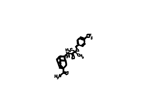 CC(C)(OCc1ccc(C(F)(F)F)cc1)C(=O)NC1C2CC3CC1CC(C(N)=O)(C3)C2